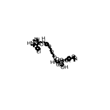 Cc1ncoc1-c1ccc(CNC(=O)[C@@H]2C[C@@H](O)CN2C(=O)C(NC(=O)COCCCOCCCOc2ccc(NC(=O)CC3N=C(c4ccc(Cl)cc4)c4c([nH]c(C)c4C)-n4c(C)nnc43)cc2)C(C)(C)C)cc1